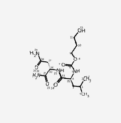 CC(C)C[C@H](NC(=O)OCCCO)C(=O)N[C@@H](CC(N)=O)C(N)=O